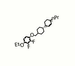 CCC[C@H]1C=C[C@H](C2CCC(COc3ccc(OCC)c(F)c3F)CC2)CC1